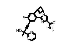 CC(O)(C#Cc1cc2c(cc1F)C1=CC(C1)n1cc(C(N)=O)nc1-2)c1ncccn1